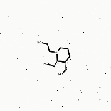 OCCN1CCC[C@@H](CO)[C@H]1CO